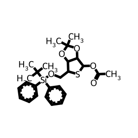 CC(=O)OC1SC(CO[Si](c2ccccc2)(c2ccccc2)C(C)(C)C)C2OC(C)(C)OC12